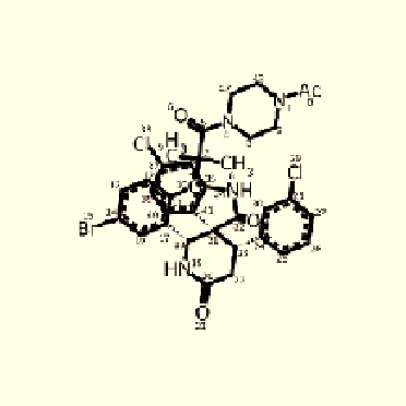 CC(=O)N1CCN(C(=O)C(C)(C)Oc2ccc(Br)cc2[C@H]2NC(=O)C[C@@H](c3cccc(Cl)c3)[C@]23C(=O)Nc2cc(Cl)ccc23)CC1